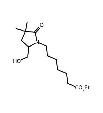 CCOC(=O)CCCCCCN1C(=O)C(C)(C)CC1CO